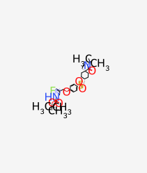 CC(C)N1CC[C@]2(CC[C@@H](CS(=O)(=O)c3ccc(OC/C(=C/F)CNC(=O)OC(C)(C)C)cc3)CC2)C1=O